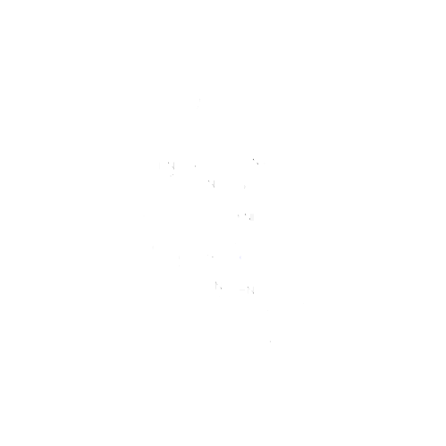 C/C(NC1COC1)=C1\Nc2ncc(Br)c(n2)NCCCOC1=N